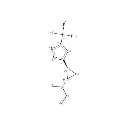 CCC(C)[C@H]1C[C@@H]1c1cnn(C(F)(F)F)c1